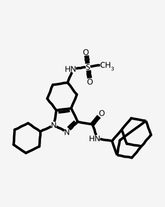 CS(=O)(=O)NC1CCc2c(c(C(=O)NC3C4CC5CC(C4)CC3C5)nn2C2CCCCC2)C1